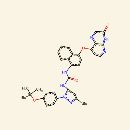 CC(C)(C)c1cc(NC(=O)Nc2ccc(Oc3ccnc4[nH]c(=O)cnc34)c3ccccc23)n(-c2ccc(O[Si](C)(C)C(C)(C)C)cc2)n1